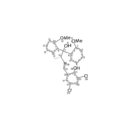 COc1ccccc1C(O)(c1ccccc1OC)[C@@H](C)N=Cc1cc(Cl)cc(Cl)c1O